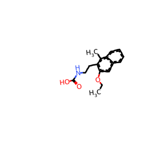 CCOc1cc2ccccc2c(C)c1CCNC(=O)O